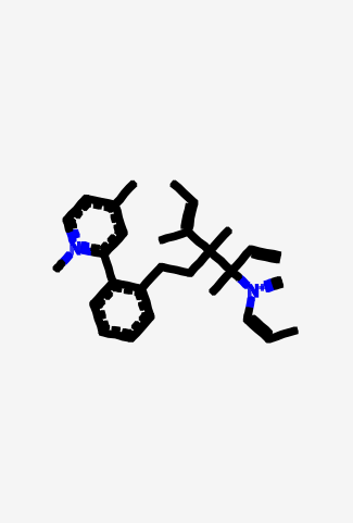 C=CC(C)([N+](=C)/C=C\C)C(C)(CCc1ccccc1-c1cc(C)cc[n+]1C)/C(C)=C/C